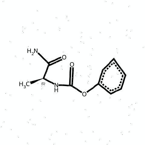 C[C@H](NC(=O)Oc1ccccc1)C(N)=O